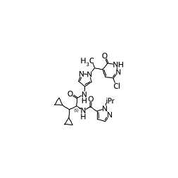 CC(c1cc(Cl)n[nH]c1=O)n1cc(NC(=O)[C@@H](NC(=O)c2ccnn2C(C)C)C(C2CC2)C2CC2)cn1